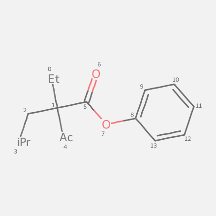 CCC(CC(C)C)(C(C)=O)C(=O)Oc1ccccc1